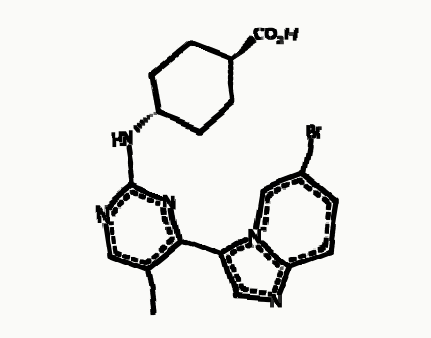 Cc1cnc(N[C@H]2CC[C@H](C(=O)O)CC2)nc1-c1cnc2ccc(Br)cn12